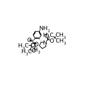 COC(=O)[C@H]1CCN(C(=O)OC(C)(C)C)[C@H]1c1cc(N)ccc1S(=O)(=O)C(C)C